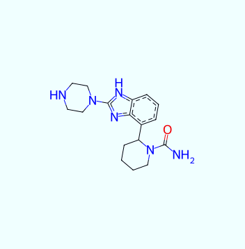 NC(=O)N1CCCCC1c1cccc2[nH]c(N3CCNCC3)nc12